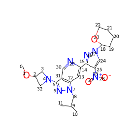 COC1CN(c2nn(CC(C)C)c3cc(-c4nn(C5CCCCO5)cc4[N+](=O)[O-])ncc23)C1